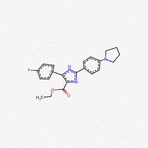 CCOC(=O)c1nc(-c2ccc(N3CCCC3)cc2)[nH]c1-c1ccc(F)cc1